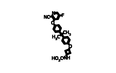 CC(C)(c1ccc(Oc2cc(F)cnc2C#N)cc1)c1ccc(OC2CC(NC(=O)O)C2)cc1